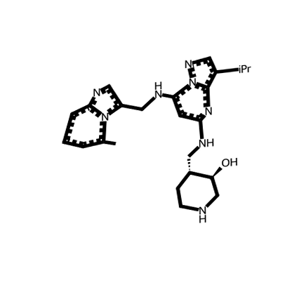 Cc1cccc2ncc(CNc3cc(NC[C@H]4CCNC[C@@H]4O)nc4c(C(C)C)cnn34)n12